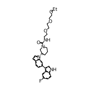 CCOCCOCCOCCNC(=O)N1CCC[C@H](n2ccc3ccc(-c4c[nH]c5ccc(F)cc45)cc32)C1